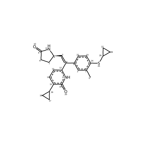 Cc1cc(C(=C[C@H]2CCC(=O)N2)c2ccc(C3CC3)c(=O)[nH]2)ccc1SC1CC1